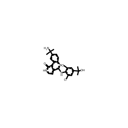 CC(C)(N)c1ccc2nc(Nc3c(Cl)cc(C(C)(C)O)cc3Cl)c3cc[nH]c(=O)c3c2c1